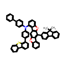 CC1(C)c2ccccc2-c2ccc(-c3c4oc5cccc(N(c6ccc(-c7ccccc7)cc6)c6ccc(-c7cccc8c7sc7ccccc78)cc6)c5c4cc4oc5ccccc5c34)cc21